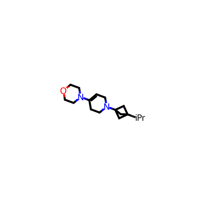 CC(C)C12CC(N3CC=C(N4CCOCC4)CC3)(C1)C2